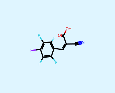 N#C/C(=C/c1c(F)c(F)c(I)c(F)c1F)C(=O)O